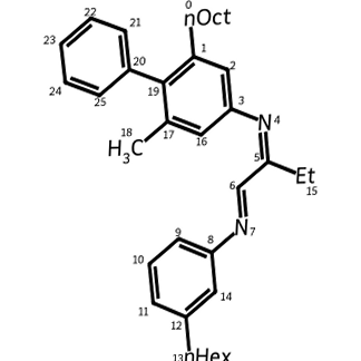 CCCCCCCCc1cc(N=C(C=Nc2cccc(CCCCCC)c2)CC)cc(C)c1-c1ccccc1